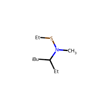 CCSN(C)C(CC)C(C)CC